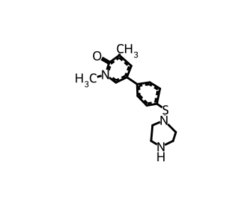 Cc1cc(-c2ccc(SN3CCNCC3)cc2)cn(C)c1=O